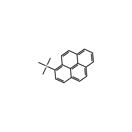 CS(C)(C)c1ccc2ccc3cccc4ccc1c2c34